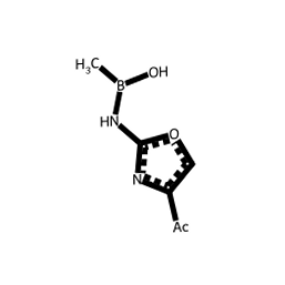 CB(O)Nc1nc(C(C)=O)co1